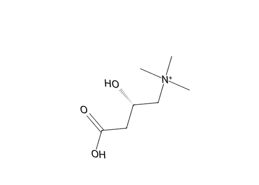 C[N+](C)(C)C[C@@H](O)CC(=O)O